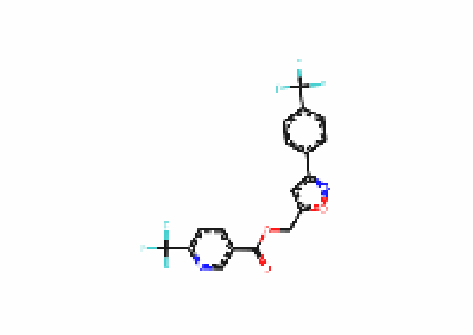 O=C(OCc1cc(-c2ccc(C(F)(F)F)cc2)no1)c1ccc(C(F)(F)F)nc1